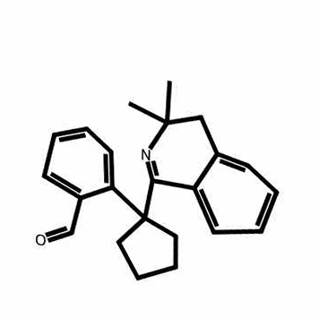 CC1(C)Cc2ccccc2C(C2(c3ccccc3C=O)CCCC2)=N1